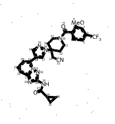 COc1cc(C(F)(F)F)ccc1C(=O)N1CCC(CC#N)(n2cc(-c3cccc4nc(NC(=O)C5CC5)nn34)cn2)CC1